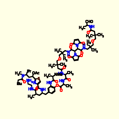 CC[C@H](C)CC(=O)N(C)C(C[C@@H](OC(C)=O)c1nc(C(=O)N[C@@H](Cc2ccc(OC(=O)C(C)NC(=O)C(C)NC(=O)CC(C)(C)COCC(C)(C)CNC(=O)C(C(C(=O)NCC(C)(C)COCC(C)(C)CC(=O)NC(C)C=O)N3C(=O)C=CC3=O)N3C(=O)C=CC3=O)c(NC(=O)C(C)NC)c2)CC(C)C(=O)NCCN)cs1)C(C)C